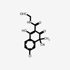 CC1(C#N)C(=O)C(C(=O)NCC=O)=C(O)c2ccc(Cl)cc21